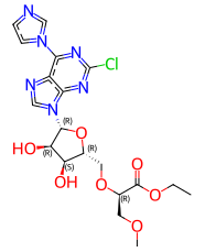 CCOC(=O)[C@@H](COC)OC[C@H]1O[C@@H](n2cnc3c(-n4ccnc4)nc(Cl)nc32)[C@H](O)[C@@H]1O